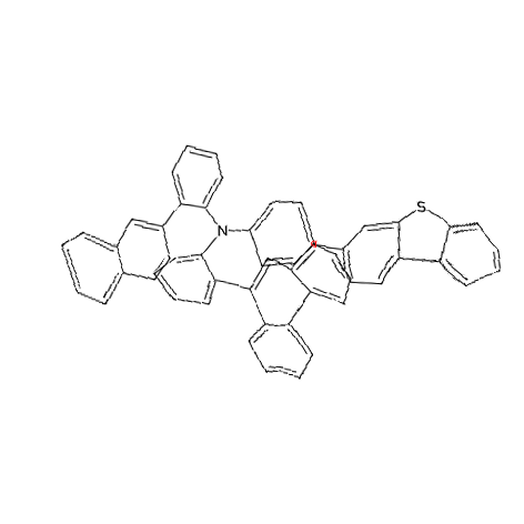 c1ccc(N(c2ccc(-c3ccc4c(c3)sc3ccccc34)cc2)c2ccccc2-c2cc3ccccc3c3ccccc23)c(-c2ccc3ccccc3c2)c1